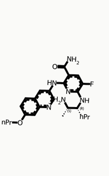 CCCOc1ccc2cc(Nc3nc(N[C@H](CCC)[C@H](C)N)c(F)cc3C(N)=O)cnc2c1